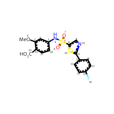 COc1cc(NS(=O)(=O)c2cnc(-c3ccc(F)cc3)s2)ccc1C(=O)O